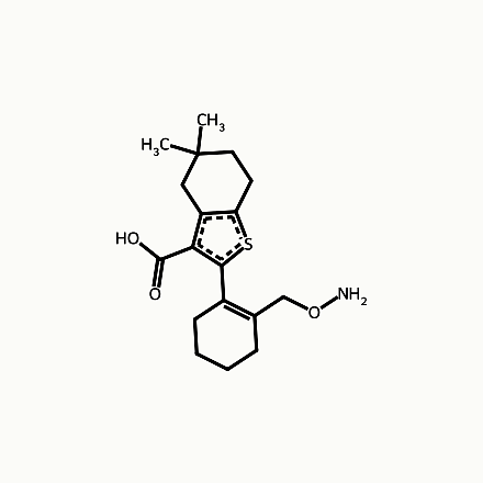 CC1(C)CCc2sc(C3=C(CON)CCCC3)c(C(=O)O)c2C1